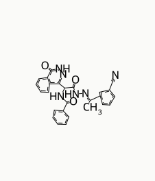 C/C(=N\NC(=O)C(NC(=O)c1ccccc1)c1n[nH]c(=O)c2ccccc12)c1cccc(C#N)c1